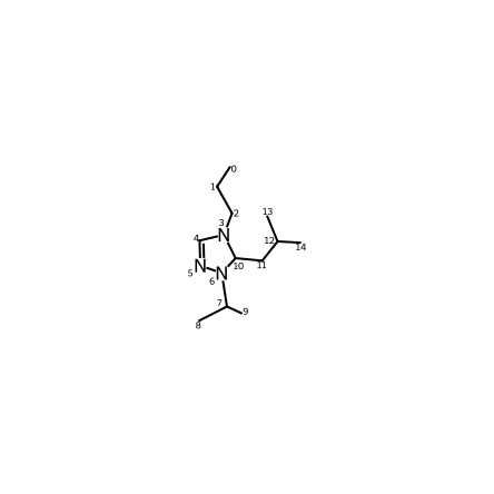 CCCN1C=NN(C(C)C)C1CC(C)C